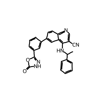 CC(Nc1c(C#N)cnc2ccc(-c3cccc(-c4n[nH]c(=O)o4)c3)cc12)c1ccccc1